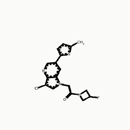 Cc1ccc(-c2cnc3c(Cl)cn(CC(=O)N4CC(F)C4)c3c2)s1